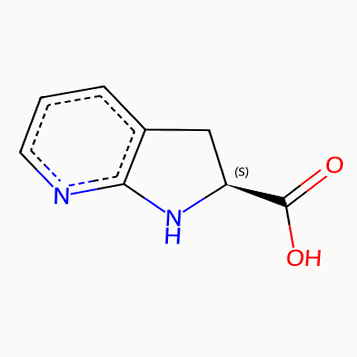 O=C(O)[C@@H]1Cc2cccnc2N1